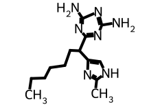 CCCCCCC(c1c[nH]c(C)n1)c1nc(N)nc(N)n1